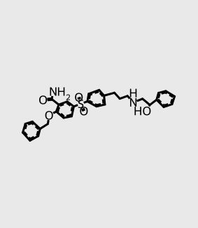 NC(=O)c1cc(S(=O)(=O)c2ccc(CCCNC[C@H](O)c3ccccc3)cc2)ccc1OCc1ccccc1